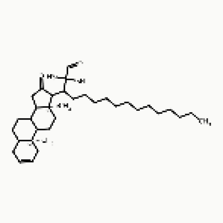 CCCCCCCCCCCCCC(C1C(=O)CC2C3CCC4CC=CC[C@]4(C)C3CC[C@@]21C)C(S)(S)C=O